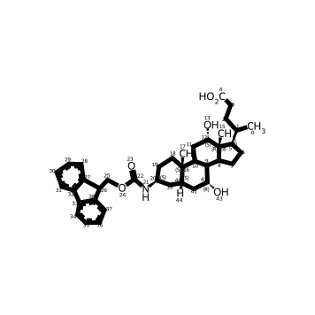 CC(CCC(=O)O)[C@H]1CCC2C3C(C[C@H](O)[C@@]21C)[C@@]1(C)CC[C@H](NC(=O)OCC2c4ccccc4-c4ccccc42)C[C@H]1C[C@H]3O